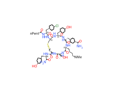 CCCCCC(=O)N[C@@H](Cc1ccc(Cl)cc1)C(=O)N[C@@H]1CSSC[C@@H](C(=O)N[C@H](Cc2ccc(O)cc2)C(N)=O)NC(=O)[C@H]([C@@H](C)O)NC(=O)[C@H](CCCCNC)NC(=O)[C@@H](Cc2ccc(C(N)=O)cc2)NC(=O)[C@H](Cc2ccc(O)cc2)NC1=O